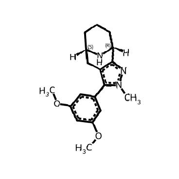 COc1cc(OC)cc(-c2c3c(nn2C)[C@H]2CCC[C@@H](C3)N2)c1